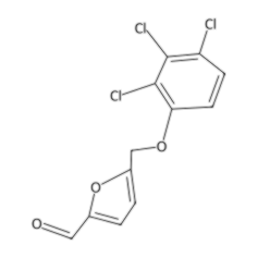 O=Cc1ccc(COc2ccc(Cl)c(Cl)c2Cl)o1